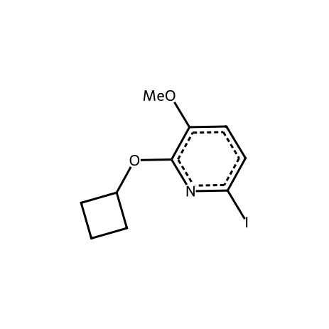 COc1ccc(I)nc1OC1CCC1